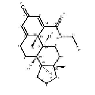 C[C@@]12CCC[C@H]1[C@@H]1CCC3=CC(=O)C=C(C(=O)SCF)[C@]3(C)[C@H]1CC2